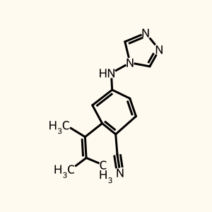 CC(C)=C(C)c1cc(Nn2cnnc2)ccc1C#N